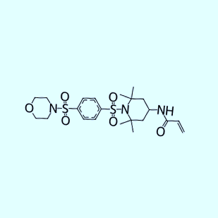 C=CC(=O)NC1CC(C)(C)N(S(=O)(=O)c2ccc(S(=O)(=O)N3CCOCC3)cc2)C(C)(C)C1